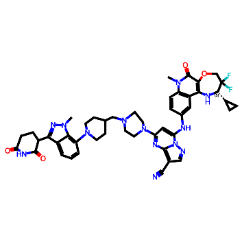 Cn1nc(C2CCC(=O)NC2=O)c2cccc(N3CCC(CN4CCN(c5cc(Nc6ccc7c(c6)c6c(c(=O)n7C)OCC(F)(F)[C@H](C7CC7)N6)n6ncc(C#N)c6n5)CC4)CC3)c21